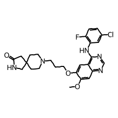 COc1cc2ncnc(Nc3cc(Cl)ccc3F)c2cc1OCCCN1CCC2(CC1)CNC(=O)C2